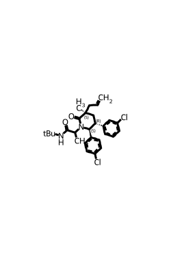 C=CC[C@@]1(C)C[C@H](c2cccc(Cl)c2)[C@@H](c2ccc(Cl)cc2)N(C(C)C(=O)NC(C)(C)C)C1=O